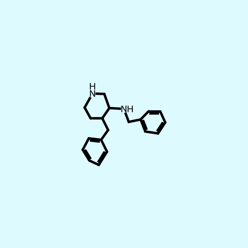 c1ccc(CNC2CNCCC2Cc2ccccc2)cc1